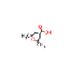 C[C@@H]1CC(C(=O)O)C[C@H](C)O1